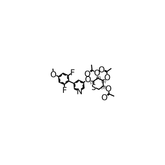 COc1cc(F)c(-c2cncc(O[C@H]3SC[C@@H](OC(C)=O)[C@H](OC(C)=O)[C@H]3OC(C)=O)c2)c(F)c1